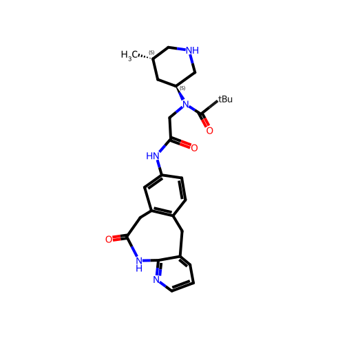 C[C@@H]1CNC[C@@H](N(CC(=O)Nc2ccc3c(c2)CC(=O)Nc2ncccc2C3)C(=O)C(C)(C)C)C1